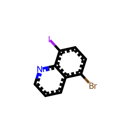 Brc1ccc(I)c2ncccc12